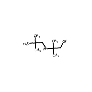 CC(C)(C)CNC(C)(C)CO